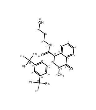 CN1C(=O)c2ccccc2[C@H](C(=O)NCCCO)[C@H]1c1cc(C(F)(F)F)cc(C(F)(F)F)c1